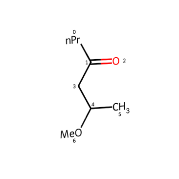 CCCC(=O)CC(C)OC